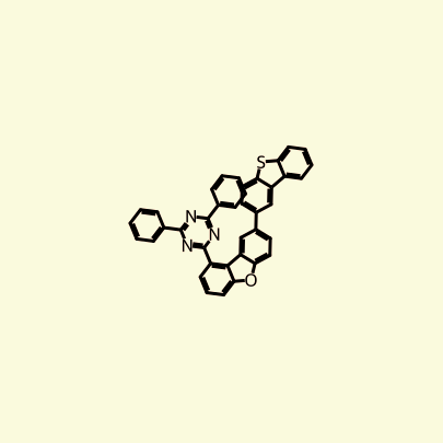 c1ccc(-c2nc(-c3ccccc3)nc(-c3cccc4oc5ccc(-c6ccc7sc8ccccc8c7c6)cc5c34)n2)cc1